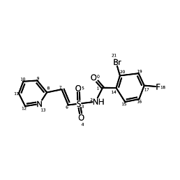 O=C(NS(=O)(=O)C=Cc1ccccn1)c1ccc(F)cc1Br